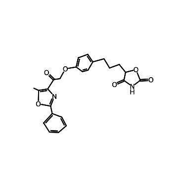 Cc1oc(-c2ccccc2)nc1C(=O)COc1ccc(CCCC2OC(=O)NC2=O)cc1